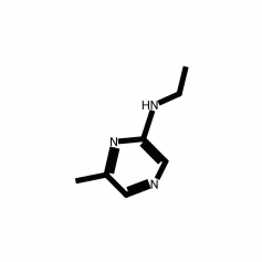 CCNc1cncc(C)n1